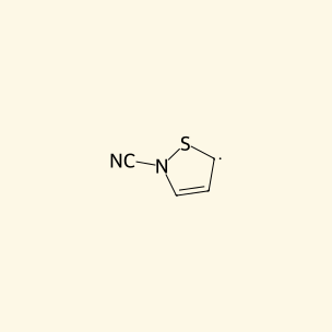 N#CN1C=C[CH]S1